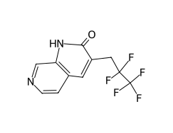 O=c1[nH]c2cnccc2cc1CC(F)(F)C(F)(F)F